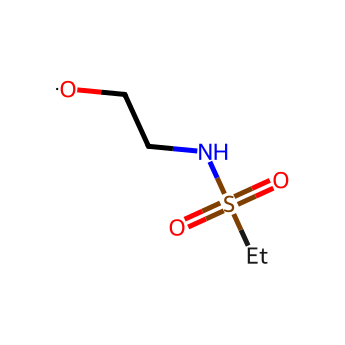 CCS(=O)(=O)NCC[O]